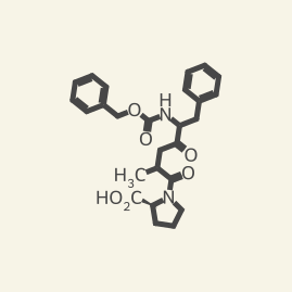 CC(CC(=O)C(Cc1ccccc1)NC(=O)OCc1ccccc1)C(=O)N1CCC[C@H]1C(=O)O